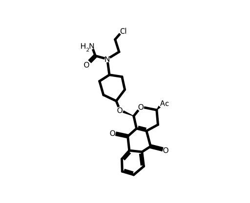 CC(=O)[C@H]1CC2=C(C(=O)c3ccccc3C2=O)[C@@H](OC2CCC(N(CCCl)C(N)=O)CC2)O1